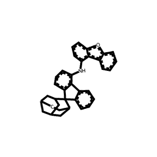 c1ccc2c(c1)-c1c(Nc3cccc4oc5ccccc5c34)cccc1C21C2CCC3CC(C2)CC1C3